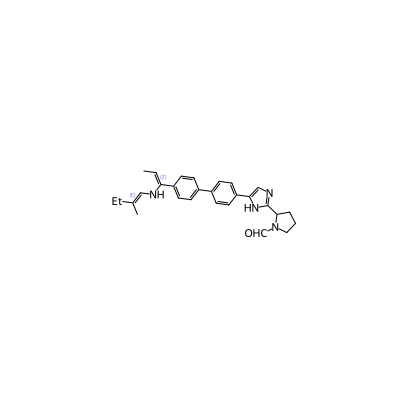 C/C=C(\N/C=C(\C)CC)c1ccc(-c2ccc(-c3cnc(C4CCCN4C=O)[nH]3)cc2)cc1